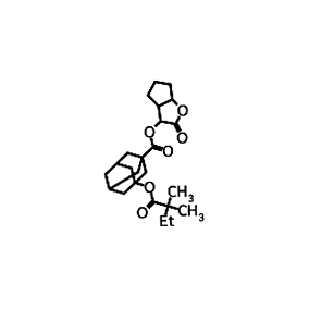 CCC(C)(C)C(=O)OC12CC3CC(C1)CC(C(=O)OC1C(=O)OC4CCCC41)(C3)C2